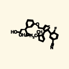 CC1(C)CCC=C1c1c(COc2cccc([C@H](CC(O)O)C3CC3)c2)csc1-c1cc(C#N)ccc1F